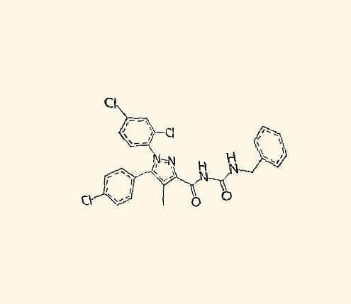 Cc1c(C(=O)NC(=O)NCc2ccccc2)nn(-c2ccc(Cl)cc2Cl)c1-c1ccc(Cl)cc1